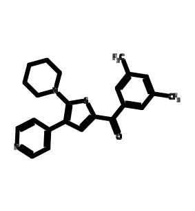 O=C(c1cc(C(F)(F)F)cc(C(F)(F)F)c1)c1cc(-c2ccncc2)c(N2CCCCC2)s1